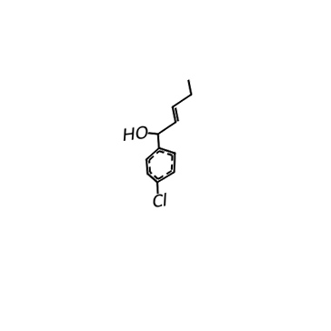 CCC=CC(O)c1ccc(Cl)cc1